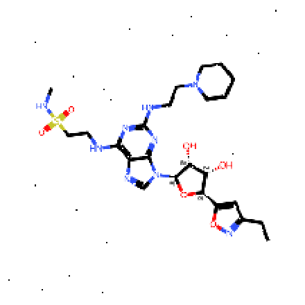 CCc1cc([C@H]2O[C@@H](n3cnc4c(NCCS(=O)(=O)NC)nc(NCCN5CCCCC5)nc43)[C@H](O)[C@@H]2O)on1